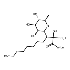 CCCCCCCCCC(=O)C(O)(C(=O)O)C(CCCCCCCO)C1O[C@H](C)[C@@H](O)[C@H](O)[C@@H]1O